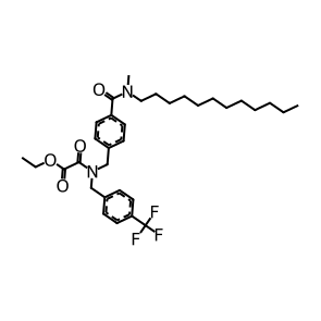 CCCCCCCCCCCCN(C)C(=O)c1ccc(CN(Cc2ccc(C(F)(F)F)cc2)C(=O)C(=O)OCC)cc1